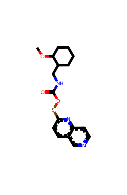 COC1CCCCC1CNC(=O)OSc1ccc2cnccc2n1